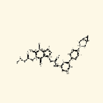 COCC(=O)Cn1c(=O)c2c(ncn2CC(=O)Nc2cncc(-c3ccc(N4CC5CC5C4)nc3)n2)n(C)c1=O